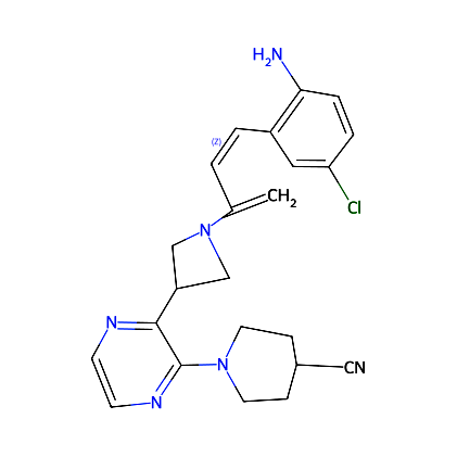 C=C(/C=C\c1cc(Cl)ccc1N)N1CC(c2nccnc2N2CCC(C#N)CC2)C1